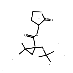 CC(C)(C)CC1(C(=O)OC2CCOC2=O)CC1(C)C